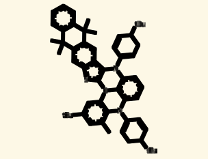 Cc1cc(C(C)(C)C)cc2c1N(C1=CCC(C(C)(C)C)C=C1)c1cccc3c1B2c1sc2cc4c(cc2c1N3C1=CCC(C(C)(C)C)C=C1)C(C)(C)c1ccccc1C4(C)C